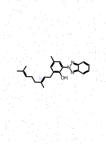 CC(C)=CCC/C(C)=C/Cc1cc(C)cc(-n2nc3ccccc3n2)c1O